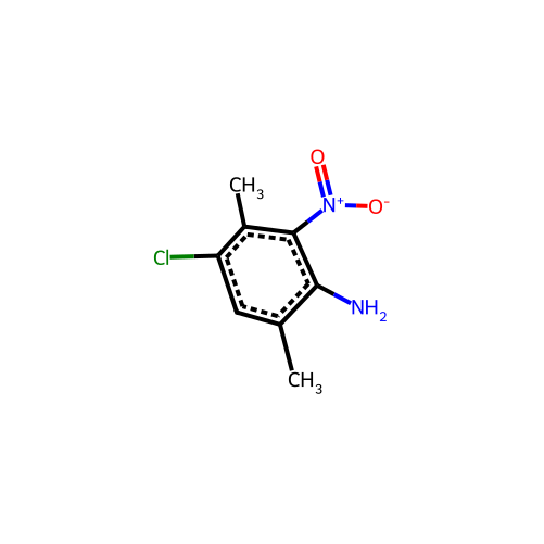 Cc1cc(Cl)c(C)c([N+](=O)[O-])c1N